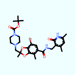 Cc1cc(C)c(CNC(=O)c2cc(Br)c3c(c2C)OC(C)(CN2CCN(C(=O)OC(C)(C)C)CC2)O3)c(=O)[nH]1